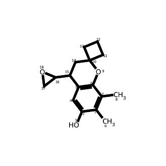 Cc1c(O)cc2c(c1C)OC1(CCC1)CC2C1CO1